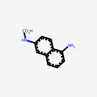 Nc1cccc2cc(NC(=O)O)ccc12